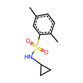 Cc1ccc(C)c(S(=O)(=O)NC2CC2)c1